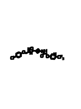 O=C(COc1ccc(C(F)(F)F)nc1)NC12CC(c3nc(COc4ccc(Cl)cc4)no3)(C1)C2